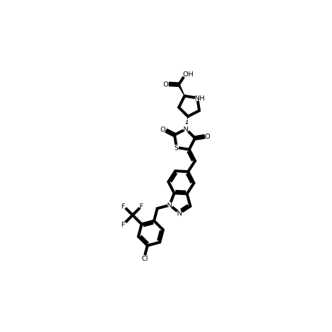 O=C(O)[C@@H]1C[C@@H](N2C(=O)S/C(=C\c3ccc4c(cnn4Cc4ccc(Cl)cc4C(F)(F)F)c3)C2=O)CN1